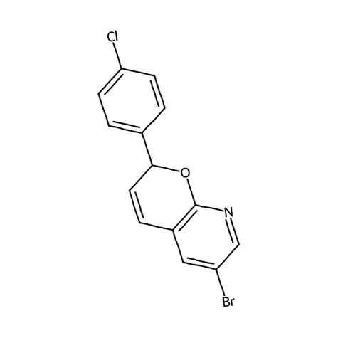 Clc1ccc(C2C=Cc3cc(Br)cnc3O2)cc1